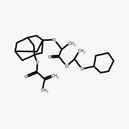 C=C(C)C(=O)OC12CC3CC(C1)CC(OC(C)C(=O)OC(C)OC1CCCCC1)(C3)C2